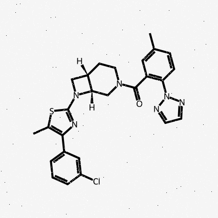 Cc1ccc(-n2nccn2)c(C(=O)N2CC[C@H]3CN(c4nc(-c5cccc(Cl)c5)c(C)s4)[C@H]3C2)c1